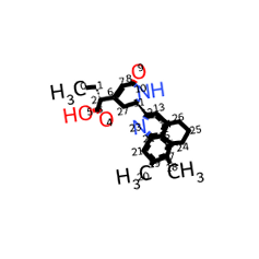 CC[C@@H](C(=O)O)C1=CC(=O)N[C@@H](c2cc3c4c(c(C)c(C)cc4n2)CCC3)C1